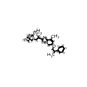 Cc1cc(OCC(C)c2ccccc2)cn2nc(C(C)CN3CC4(CNC4)NC3=O)nc12